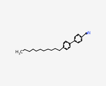 CCCCCCCCCCCc1ccc(-c2ccc(C#N)cc2)cc1